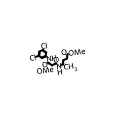 COC(=O)CC[C@H](C)NC(=O)C(OC)C(=O)Nc1cc(Cl)cc(Cl)c1